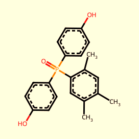 Cc1cc(C)c(P(=O)(c2ccc(O)cc2)c2ccc(O)cc2)cc1C